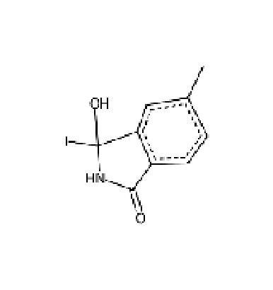 Cc1ccc2c(c1)C(O)(I)NC2=O